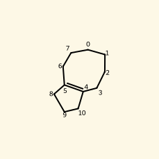 C1CCCC2=C(CC1)CCC2